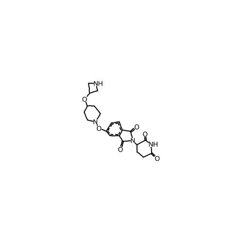 O=C1CCC(N2C(=O)c3ccc(ON4CCC(OC5CNC5)CC4)cc3C2=O)C(=O)N1